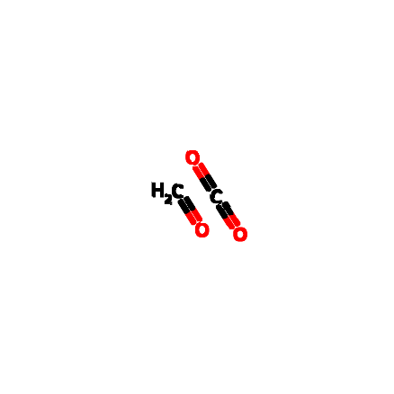 C=O.O=C=O